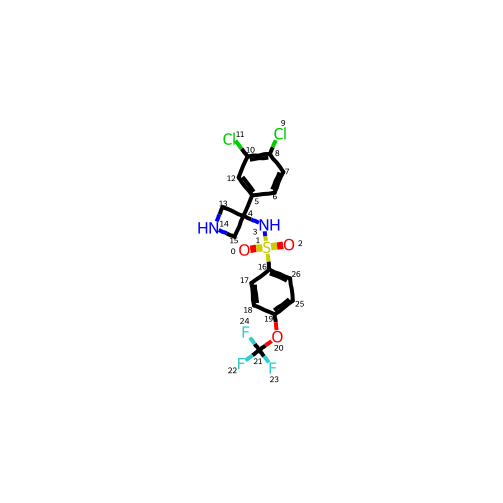 O=S(=O)(NC1(c2ccc(Cl)c(Cl)c2)CNC1)c1ccc(OC(F)(F)F)cc1